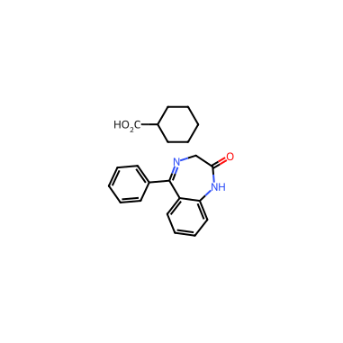 O=C(O)C1CCCCC1.O=C1CN=C(c2ccccc2)c2ccccc2N1